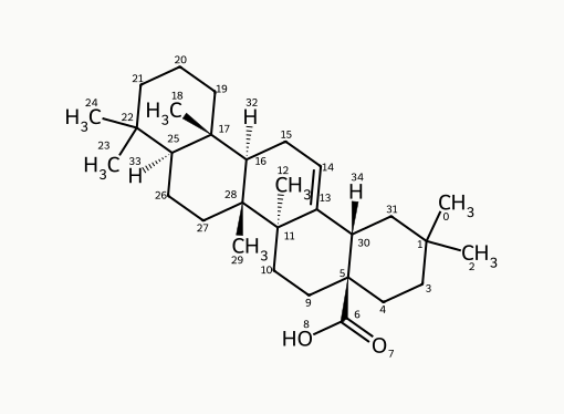 CC1(C)CC[C@]2(C(=O)O)CC[C@]3(C)C(=CC[C@@H]4[C@@]5(C)CCCC(C)(C)[C@@H]5CC[C@]43C)[C@@H]2C1